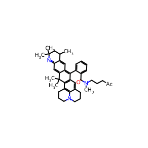 CC(=O)CCCN(C)C(=O)c1ccccc1C1=c2cc3c(cc2C(C)(C)c2c1cc1c4c2CCCN4CCC1)=NC(C)(C)CC3C